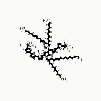 CCCCCCCCCCCCC(CCCCCCCCCC)CN1C(=O)/C(=C(\c2ccc(C3=CCC(C(C)(C)C)S3)s2)N(C=O)CC(CCCCCCCCCC)CCCCCCCCCCCC)C(C)=C1c1ccc(-c2ccc(-c3ccc(C(C)(C)C)s3)s2)s1